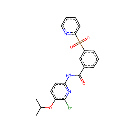 CC(C)Oc1ccc(NC(=O)c2cccc(S(=O)(=O)c3ccccn3)c2)nc1Br